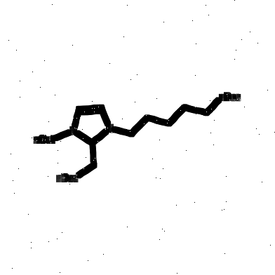 CCCCCCCCCCCCCCCN1C=CN(CCCCCCCC)C1CCCCCCCCCCC